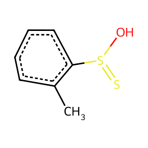 Cc1ccccc1S(O)=S